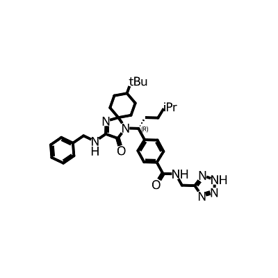 CC(C)CC[C@H](c1ccc(C(=O)NCc2nn[nH]n2)cc1)N1C(=O)C(NCc2ccccc2)=NC12CCC(C(C)(C)C)CC2